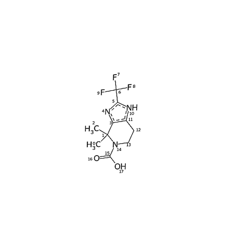 CC1(C)c2nc(C(F)(F)F)[nH]c2CCN1C(=O)O